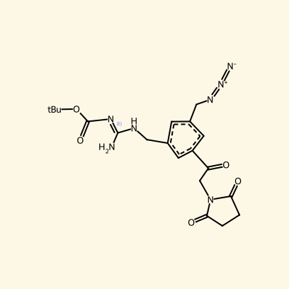 CC(C)(C)OC(=O)/N=C(\N)NCc1cc(CN=[N+]=[N-])cc(C(=O)CN2C(=O)CCC2=O)c1